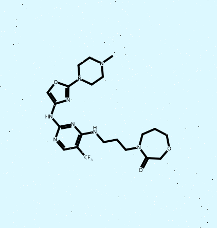 CN1CCN(c2nc(Nc3ncc(C(F)(F)F)c(NCCCN4CCCOCC4=O)n3)co2)CC1